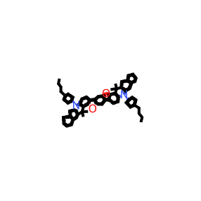 CCCCc1ccc(N2c3cc4ccccc4cc3C(C)(C)c3c2ccc2c3oc3cc4c(cc32)oc2c3c(ccc24)N(c2ccc(CCCC)cc2)c2cc4ccccc4cc2C3(C)C)cc1